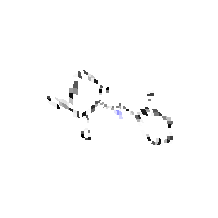 O=c1ccoc(/C=C/c2ccccc2F)c1O